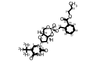 [2H]C([2H])([2H])c1cn([C@H]2C[C@@H]3OP(=O)(OCc4ccccc4C(=O)OCCC)OC[C@H]3O2)c(=O)[nH]c1=O